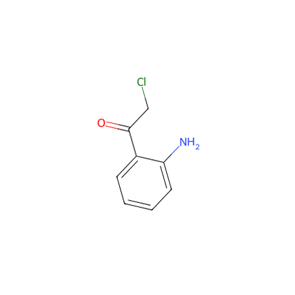 Nc1ccccc1C(=O)CCl